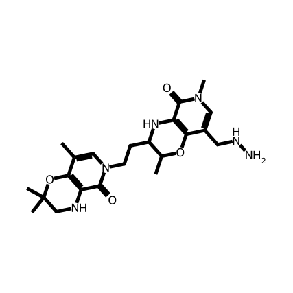 Cc1cn(CCC2Nc3c(c(CNN)cn(C)c3=O)OC2C)c(=O)c2c1OC(C)(C)CN2